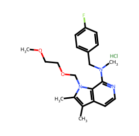 COCCOCn1c(C)c(C)c2ccnc(N(C)Cc3ccc(F)cc3)c21.Cl